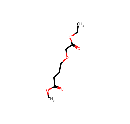 CCOC(=O)COCCCC(=O)OC